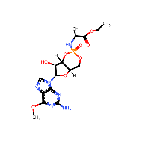 CCOC(=O)[C@H](C)NP1(=O)OC[C@H]2O[C@@H](n3cnc4c(OC)nc(N)nc43)[C@@H](O)[C@@H]2O1